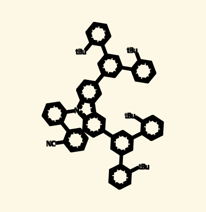 CC(C)(C)c1ccccc1-c1cc(-c2ccc3c(c2)c2cc(-c4cc(-c5ccccc5C(C)(C)C)cc(-c5ccccc5C(C)(C)C)c4)ccc2n3-c2ccccc2-c2ccccc2C#N)cc(-c2ccccc2C(C)(C)C)c1